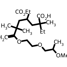 C=C(OCCOCC(C)OC)C(C)(C)CC(CC(C)(CC)C(=O)O)C(=O)OCC